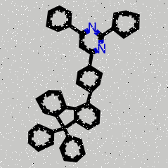 c1ccc(-c2cc(-c3ccc(-c4cccc5c4-c4ccccc4C5(c4ccccc4)c4ccccc4)cc3)nc(-c3ccccc3)n2)cc1